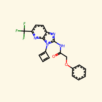 O=C(COc1ccccc1)Nc1nc2ccc(C(F)(F)F)nc2n1C1=CC=C1